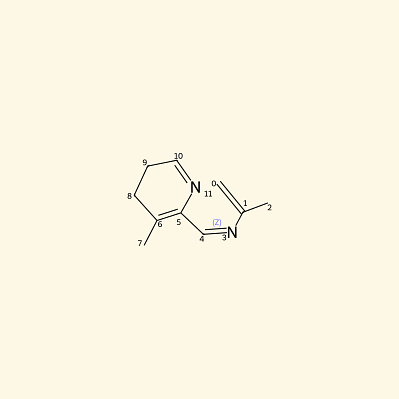 C=C(C)/N=C\C1=C(C)CCC=N1